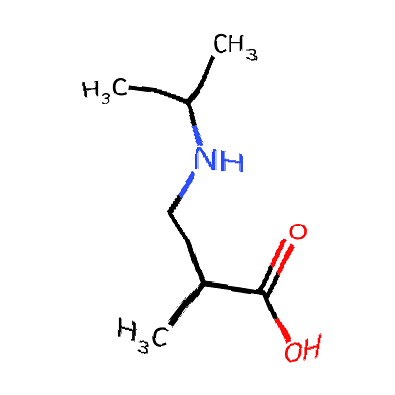 CC(C)NCC(C)C(=O)O